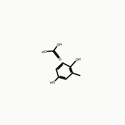 Cc1cc(O)ccc1O.O=C(O)O